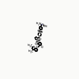 Cc1cc(C)c2cccc(OCc3c(Cl)ccc(S(=O)(=O)N4CCCC4C(=O)N4CCN(S(=O)(=O)c5ccc(/C(N)=N\O)cc5)CC4)c3Cl)c2n1